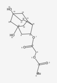 CCC(C)C(=O)OCC(=O)OC1CC2(O)CC3CC(O)(CCC31)C2